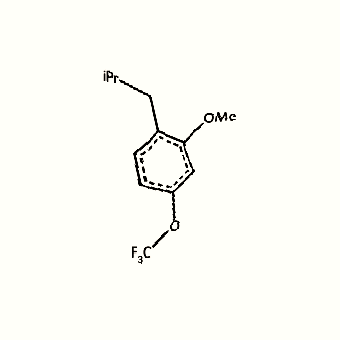 COc1cc(OC(F)(F)F)ccc1CC(C)C